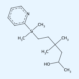 CC(O)CC(C)(C)CC[Si](C)(C)c1ccccn1